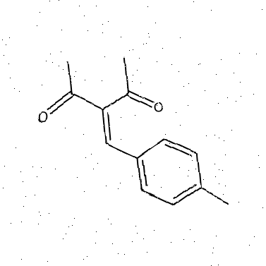 CC(=O)C(=Cc1ccc(C)cc1)C(C)=O